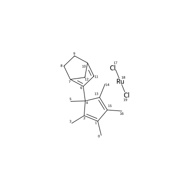 CC1=C(C)C(C)(C2=C3CCC(=C2)C3)C(C)=C1C.[Cl][Ru][Cl]